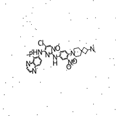 COc1cc(N2CCC3(CC2)CC(N(C)C)C3)c([N+](=O)[O-])cc1Nc1ncc(Cl)c(Nc2ccc3nccnc3c2P(C)C)n1